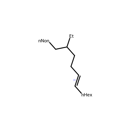 [CH2]CCCCC/C=C/CCC(CC)CCCCCCCCC[CH2]